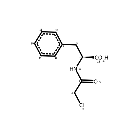 O=C(CCl)N[C@@H](Cc1ccccc1)C(=O)O